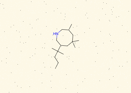 CCCC(C)(C)C1CNCC(C)CC(C)(C)C1